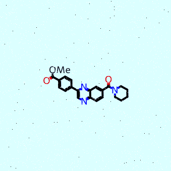 COC(=O)c1ccc(-c2cnc3ccc(C(=O)N4CCCCC4)cc3n2)cc1